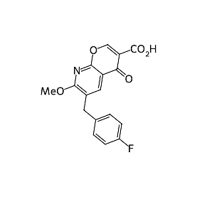 COc1nc2occ(C(=O)O)c(=O)c2cc1Cc1ccc(F)cc1